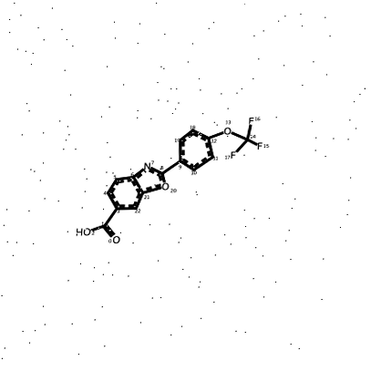 O=C(O)c1ccc2nc(-c3ccc(OC(F)(F)F)cc3)oc2c1